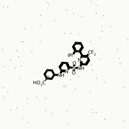 CC(C)c1ccccc1-c1nc(NS(=O)(=O)c2cccc(NC3CCC[C@H](C(=O)O)C3)n2)ccc1C(F)(F)F